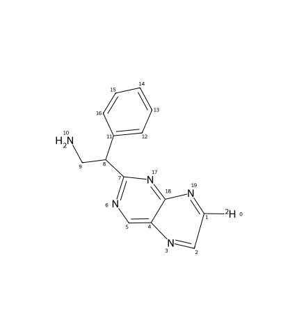 [2H]c1cnc2cnc(C(CN)c3ccccc3)nc2n1